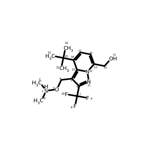 C[SiH](C)OCc1c(C(F)(F)F)nn2c(CO)ccc(C(C)(C)C)c12